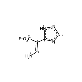 CCOC(=O)C(=CN)c1nnn[nH]1